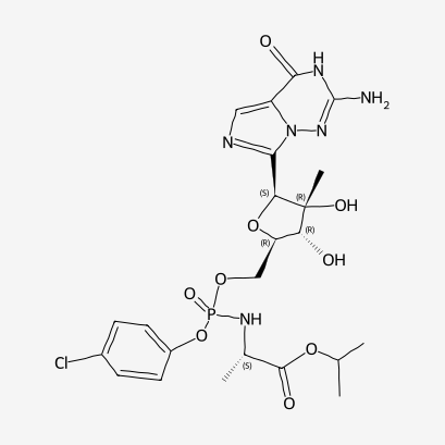 CC(C)OC(=O)[C@H](C)NP(=O)(OC[C@H]1O[C@@H](c2ncc3c(=O)[nH]c(N)nn23)[C@](C)(O)[C@@H]1O)Oc1ccc(Cl)cc1